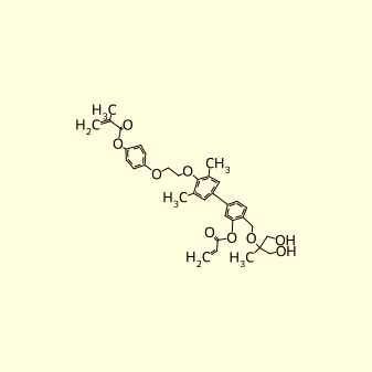 C=CC(=O)Oc1cc(-c2cc(C)c(OCCOc3ccc(OC(=O)C(=C)C)cc3)c(C)c2)ccc1COC(C)(CO)CO